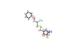 FC(COc1ccccc1)CSCc1c[nH]c(=S)o1